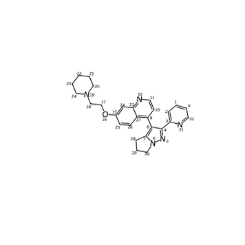 c1ccc(-c2nn3c(c2-c2ccnc4cc(OCCN5CCCCC5)ccc24)CCC3)nc1